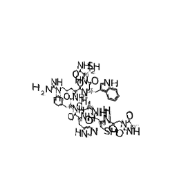 C[C@@H]1NC(=O)N(CC(=O)N[C@@H](CS)C(=O)N[C@H](C)C(=O)N[C@@H](Cc2cnc[nH]2)C(=O)N[C@H](Cc2ccccc2)C(=O)N[C@@H](CCCNC(=N)N)C(=O)N[C@@H](Cc2c[nH]c3ccccc23)C(=O)N[C@@H](CS)C(N)=O)C1=O